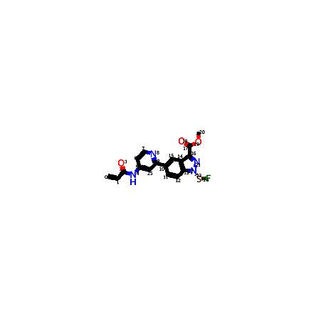 C=CC(=O)Nc1ccnc(-c2ccc3c(c2)c(C(=O)OC)nn3SF)c1